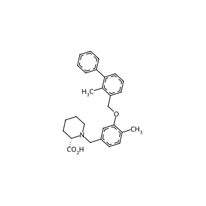 Cc1ccc(CN2CCCC[C@H]2C(=O)O)cc1OCc1cccc(-c2ccccc2)c1C